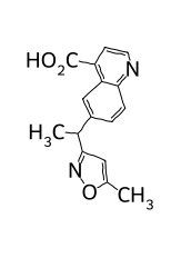 Cc1cc(C(C)c2ccc3nccc(C(=O)O)c3c2)no1